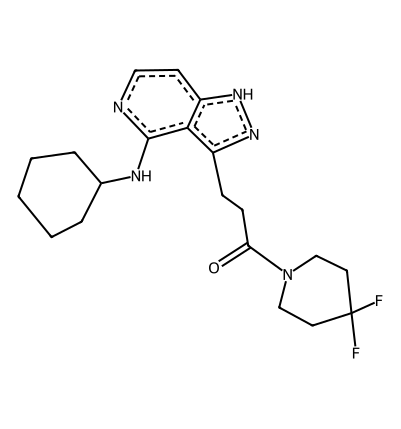 O=C(CCc1n[nH]c2ccnc(NC3CCCCC3)c12)N1CCC(F)(F)CC1